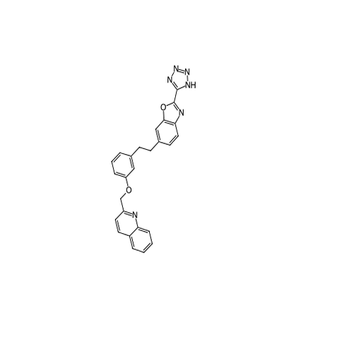 c1cc(CCc2ccc3nc(-c4nnn[nH]4)oc3c2)cc(OCc2ccc3ccccc3n2)c1